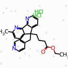 CCOC(=O)CCCC1(Cc2ccncc2)c2cccnc2-c2nc(C)ccc21.Cl.Cl